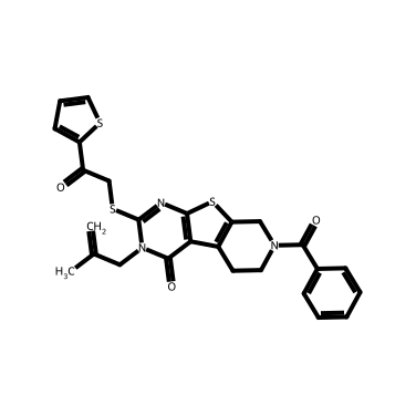 C=C(C)Cn1c(SCC(=O)c2cccs2)nc2sc3c(c2c1=O)CCN(C(=O)c1ccccc1)C3